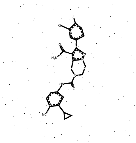 N#Cc1ccc(NC(=O)N2CCn3nc(-c4ccc(F)c(Cl)c4)c(C(N)=O)c3C2)cc1C1CC1